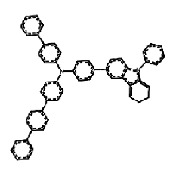 C1=c2c(n(-c3ccccc3)c3ccc(-c4ccc(N(c5ccc(-c6ccccc6)cc5)c5ccc(-c6ccc(-c7ccccc7)cc6)cc5)cc4)cc23)=CCC1